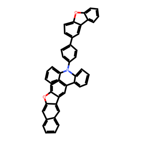 c1ccc(N(c2ccc(-c3ccc4oc5ccccc5c4c3)cc2)c2ccccc2-c2ccc3oc4cc5ccccc5cc4c3c2)cc1